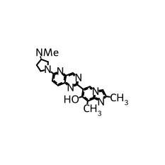 CN[C@@H]1CCN(c2ccc3nc(-c4cn5cc(C)nc5c(C)c4O)ncc3n2)C1